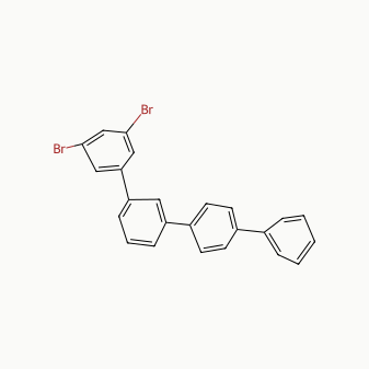 Brc1cc(Br)cc(-c2cccc(-c3ccc(-c4ccccc4)cc3)c2)c1